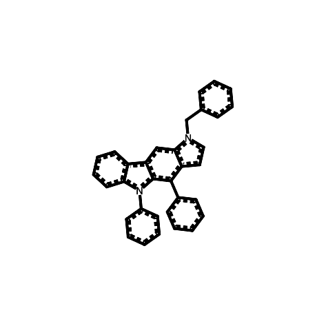 c1ccc(Cn2ccc3c(-c4ccccc4)c4c(cc32)c2ccccc2n4-c2ccccc2)cc1